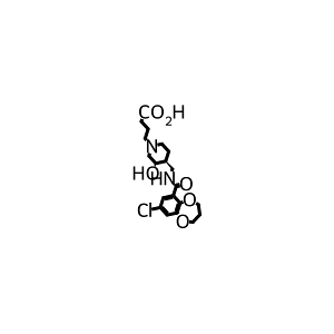 O=C(O)CCCN1CC[C@@H](CNC(=O)c2cc(Cl)cc3c2OCCCO3)[C@H](O)C1